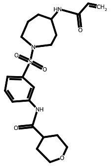 C=CC(=O)NC1CCCN(S(=O)(=O)c2cccc(NC(=O)C3CCOCC3)c2)CC1